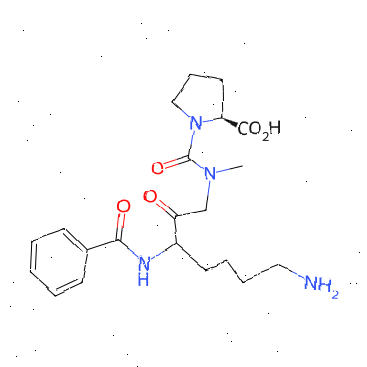 CN(CC(=O)C(CCCCN)NC(=O)c1ccccc1)C(=O)N1CCC[C@H]1C(=O)O